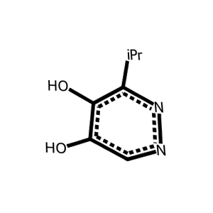 CC(C)c1nncc(O)c1O